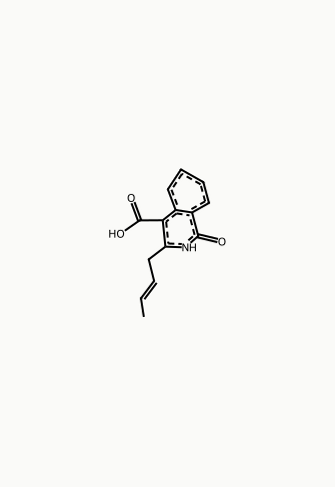 CC=CCc1[nH]c(=O)c2ccccc2c1C(=O)O